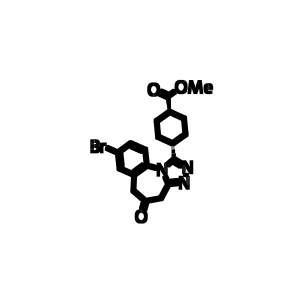 COC(=O)[C@H]1CC[C@H](c2nnc3n2-c2ccc(Br)cc2CC(=O)C3)CC1